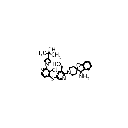 CC(C)(O)C1CN(c2nccc(Sc3cnc(N4CCC5(CC4)Oc4ccccc4[C@H]5N)c(CO)n3)c2Cl)C1